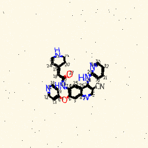 N#Cc1cnc2cc(Oc3ccncc3)c(NC(=O)C=C3CCNCC3)cc2c1Nc1ccccn1